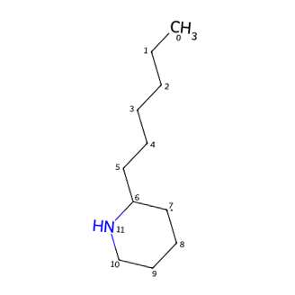 CCCCCCC1[CH]CCCN1